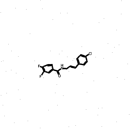 O=C(NCC=Cc1ccc(Cl)cc1)c1ccc(F)c(F)c1